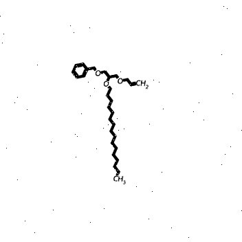 C=CCOCC(COCc1ccccc1)OCCCCCCCCCCCCCCCC